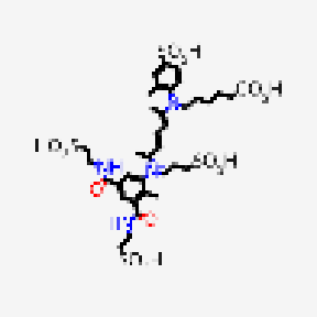 C\C(=C/C=C/C(C)=[N+](\CCCS(=O)(=O)O)c1cc(C(=O)NCCS(=O)(=O)O)cc(C(=O)NCCS(=O)(=O)O)c1C)N(CCCCCC(=O)O)c1ccc(S(=O)(=O)O)cc1C